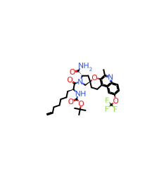 C=CCCCCC[C@H](NC(=O)OC(C)(C)C)C(=O)N1C[C@@]2(CCc3c(c(C)nc4ccc(OC(F)(F)F)cc34)O2)C[C@H]1C(N)=O